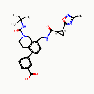 Cc1noc([C@H]2C[C@@H]2C(=O)NCc2ccc(-c3cccc(C(=O)O)c3)c3c2CN(C(=O)NC(C)(C)C)CC3)n1